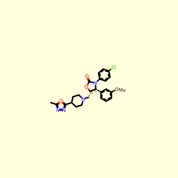 COc1cccc([C@H]2[C@H](CN3CCC(c4nnc(C)o4)CC3)OC(=O)N2c2ccc(Cl)cc2)c1